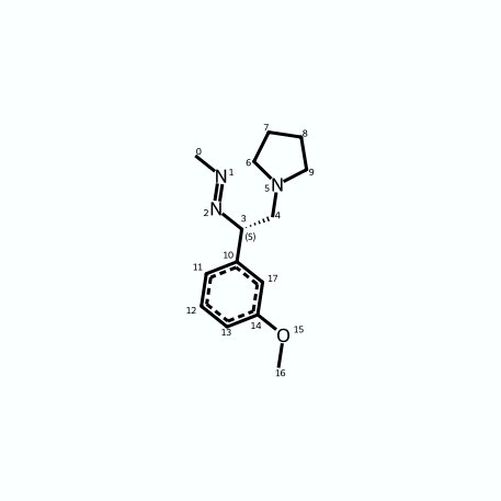 CN=N[C@H](CN1CCCC1)c1cccc(OC)c1